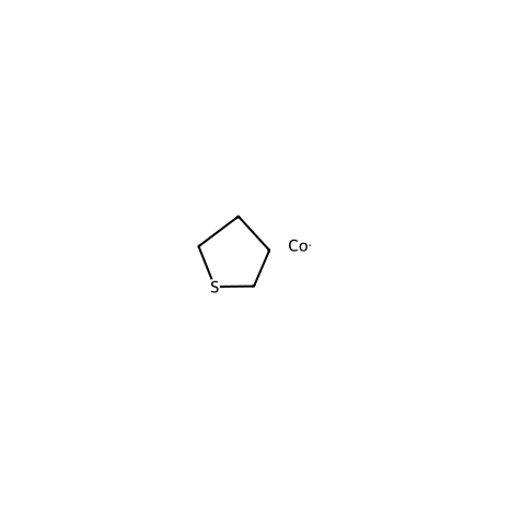 C1CCSC1.[Co]